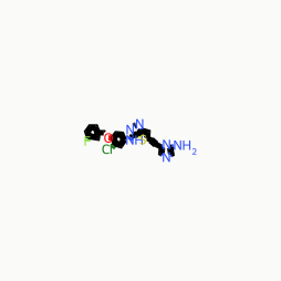 Nc1cncc(C#Cc2cc3ncnc(Nc4ccc(OCc5cccc(F)c5)c(Cl)c4)c3s2)n1